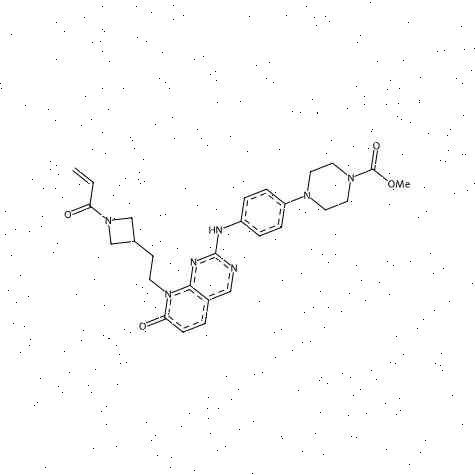 C=CC(=O)N1CC(CCn2c(=O)ccc3cnc(Nc4ccc(N5CCN(C(=O)OC)CC5)cc4)nc32)C1